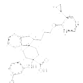 O=C(O)C1(Nc2cccc(Cl)c2)CCC2(CC1)c1ccccc1CC2CCCOc1ncncc1C1CC1